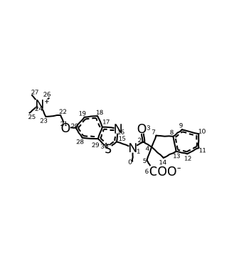 CN(C(=O)C1(CC(=O)[O-])Cc2ccccc2C1)c1nc2ccc(OCC[N+](C)(C)C)cc2s1